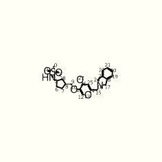 CS(=O)(=O)N[C@@H]1CC[C@H](COc2coc(CN3Cc4ccccc4C3)cc2=O)C1